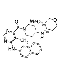 CO[C@@H]1COCC[C@@H]1NC1CCN(C(=O)c2ncnc(Nc3ccc4ccccc4c3)c2C)CC1